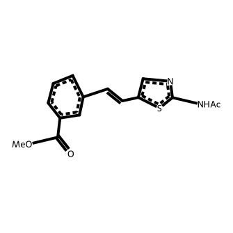 COC(=O)c1cccc(C=Cc2cnc(NC(C)=O)s2)c1